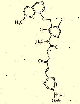 CON(C(C)=O)c1ccc(C=CC(=O)NCC(=O)N(C)c2ccc(Cl)c(COc3cccc4ccc(C)nc34)c2Cl)cn1